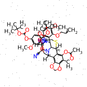 C=CCOc1c(OC)c(C)cc2c1C1C3[C@@H]4SC[C@]5(NCCc6cc(OC(=O)OC(C)(C)C)c(OC)cc65)C(=O)OC[C@@H](c5c6c(c(C)c(OC(C)=O)c54)OCO6)N3[C@@H](C#N)[C@H](C2)N1C(=O)OC(C)(C)C